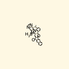 BN1/C(=C\C=C2C(=O)c3cc4ccccc4cc3C2=O)N(c2c(C(C)C)cccc2C(C)C)c2cc3nccnc3cc21